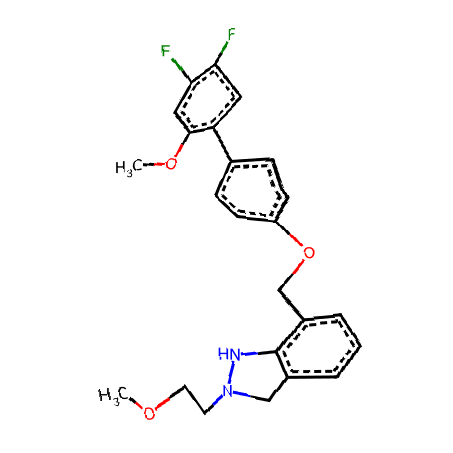 COCCN1Cc2cccc(COc3ccc(-c4cc(F)c(F)cc4OC)cc3)c2N1